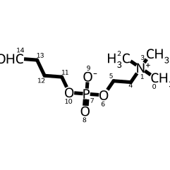 C[N+](C)(C)CCOP(=O)([O-])OCCCC=O